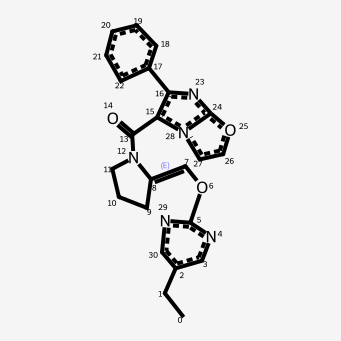 CCc1cnc(O/C=C2\CCCN2C(=O)c2c(-c3ccccc3)nc3occn23)nc1